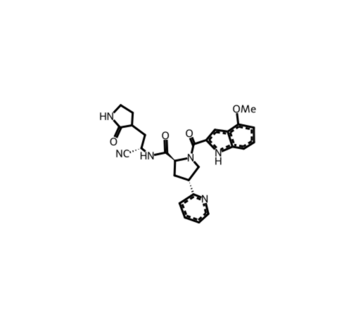 COc1cccc2[nH]c(C(=O)N3C[C@H](c4ccccn4)C[C@H]3C(=O)N[C@H](C#N)CC3CCNC3=O)cc12